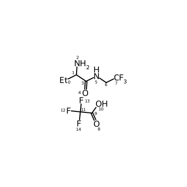 CCC(N)C(=O)NCC(F)(F)F.O=C(O)C(F)(F)F